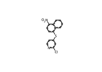 O=[N+]([O-])c1ccc(Sc2ccnc(Cl)c2)c2ccccc12